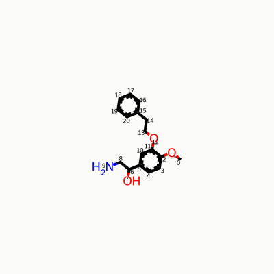 COc1ccc(C(O)CN)cc1OCCc1ccccc1